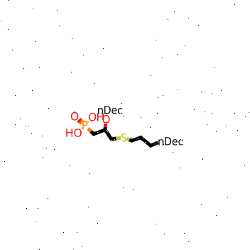 CCCCCCCCCCCCCSCC(CP(=O)(O)O)OCCCCCCCCCC